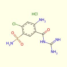 Cl.N=C(N)NC(=O)c1cc(S(N)(=O)=O)c(Cl)cc1N